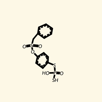 O=P(O)(S)Sc1ccc(OS(=O)(=O)Cc2ccccc2)cc1